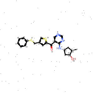 [CH2][C@@H]1C[C@@H](Nc2ncncc2C(=O)c2cc(CSc3ccccc3)cs2)C[C@@H]1O